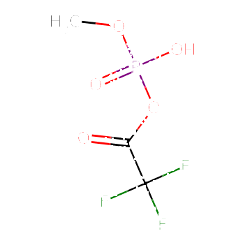 COP(=O)(O)OC(=O)C(F)(F)F